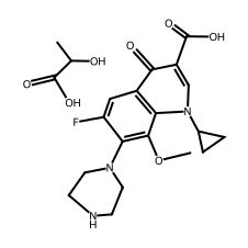 CC(O)C(=O)O.COc1c(N2CCNCC2)c(F)cc2c(=O)c(C(=O)O)cn(C3CC3)c12